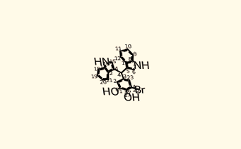 Oc1cc(C(c2c[nH]c3ccccc23)c2c[nH]c3ccccc23)cc(Br)c1O